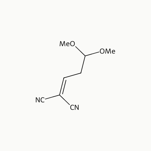 COC(CC=C(C#N)C#N)OC